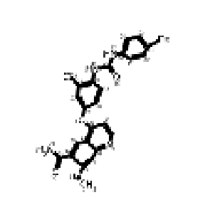 COc1cc2nccc(Oc3ccc(NC(=O)Nc4ccc(F)cc4)c(Cl)c3)c2cc1C(N)=O